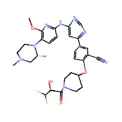 COc1nc(Nc2cc(-c3ccc(OC4CCN(C(=O)[C@H](O)C(F)F)CC4)c(C#N)c3)ncn2)ccc1N1CCN(C)C[C@H]1C